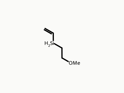 C=C[SiH2]CCOC